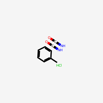 Cc1ccccc1.Cl.N=C=O.N=C=O